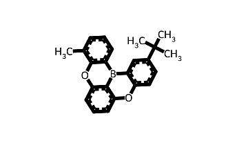 Cc1cccc2c1Oc1cccc3c1B2c1cc(C(C)(C)C)ccc1O3